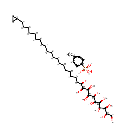 Cc1ccc(S(=O)(=O)O)cc1.O=CC(=O)C(=O)C(=O)C(=O)C(=O)C(=O)C(=O)C(=O)C(=O)C(=O)CCCCCCCCCCCCCCCCCCCCC1CC1